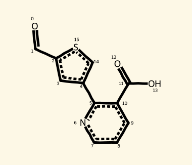 O=Cc1cc(-c2ncccc2C(=O)O)cs1